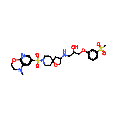 CN1CCOc2ncc(S(=O)(=O)N3CCC4(CC3)C[C@@H](NCC(O)COc3cccc(S(C)(=O)=O)c3)CO4)cc21